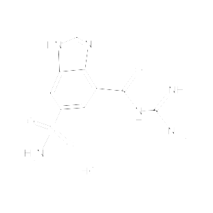 Cl.N=C(N)NC(=O)c1cc(S(N)(=O)=O)cc2[nH]cnc12